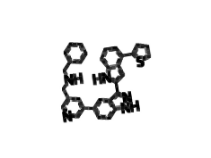 c1ccc(CNCc2cncc(-c3ccc4[nH]nc(-c5cc6c(-c7cccs7)cccc6[nH]5)c4c3)c2)cc1